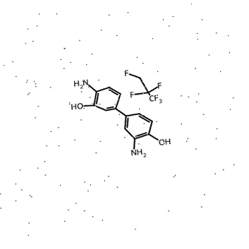 FCC(F)(F)C(F)(F)F.Nc1cc(-c2ccc(N)c(O)c2)ccc1O